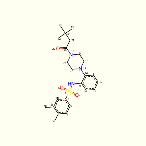 Cc1ccc(S(=O)(=O)Nc2ccccc2N2CCN(C(=O)CC(C)(C)C)CC2)cc1C